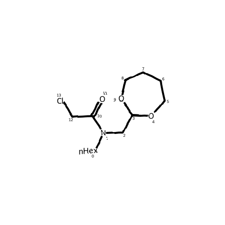 CCCCCCN(CC1OCCCCO1)C(=O)CCl